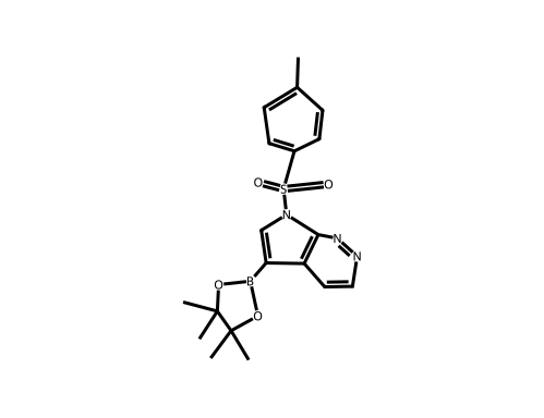 Cc1ccc(S(=O)(=O)n2cc(B3OC(C)(C)C(C)(C)O3)c3ccnnc32)cc1